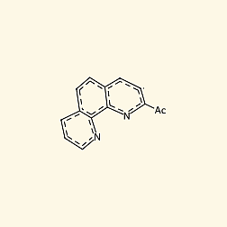 CC(=O)c1[c]cc2ccc3cccnc3c2n1